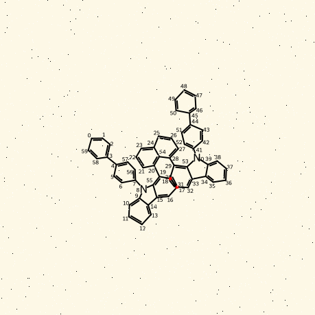 c1ccc(-c2ccc(-n3c4ccccc4c4cccc(-c5cccc6cccc(-c7cccc8c9ccccc9n(-c9ccc(-c%10ccccc%10)cc9)c78)c56)c43)cc2)cc1